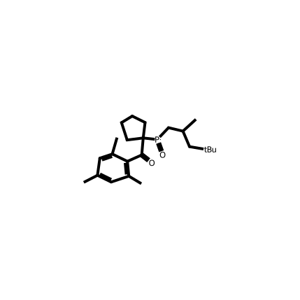 Cc1cc(C)c(C(=O)C2([P](=O)CC(C)CC(C)(C)C)CCCC2)c(C)c1